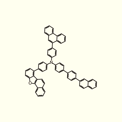 c1ccc2cc(-c3ccc(-c4ccc(N(c5ccc(-c6cc7ccccc7c7ccccc67)cc5)c5ccc(-c6cccc7oc8c9ccccc9ccc8c67)cc5)cc4)cc3)ccc2c1